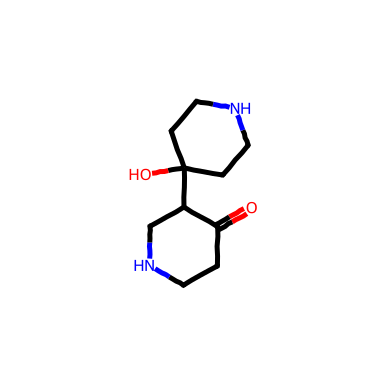 O=C1CCNCC1C1(O)CCNCC1